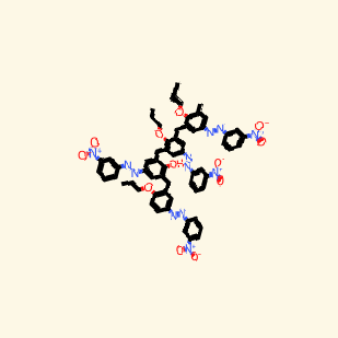 CCCOc1ccc(N=Nc2cccc([N+](=O)[O-])c2)cc1Cc1cc(N=Nc2cccc([N+](=O)[O-])c2)cc(Cc2cc(N=Nc3cccc([N+](=O)[O-])c3)cc(Cc3cc(N=Nc4cccc([N+](=O)[O-])c4)cc(C)c3OCCC)c2OCCC)c1O